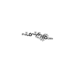 COc1cc(C)c(S(=O)(=O)N(C)Cc2cc(C(=O)NCCc3ccc(CNCC(C)C)cc3)co2)c(C)c1